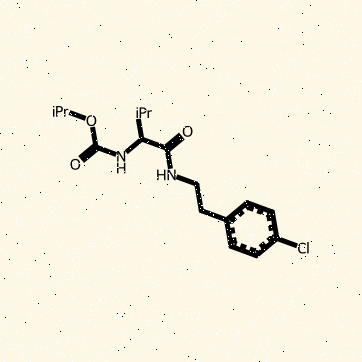 CC(C)OC(=O)NC(C(=O)NCCc1ccc(Cl)cc1)C(C)C